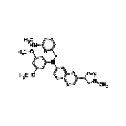 CNc1cccc(CN(c2cc(OC)cc(OC)c2)c2ccc3ncc(C4C=NN(C)C4)nc3c2)n1